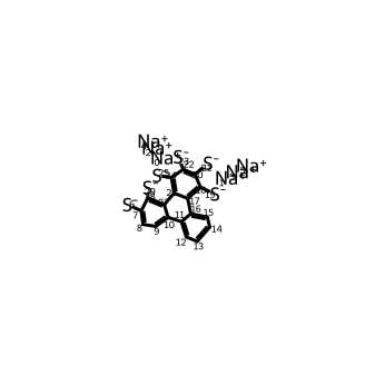 [Na+].[Na+].[Na+].[Na+].[Na+].[Na+].[S-]c1ccc2c3ccccc3c3c([S-])c([S-])c([S-])c([S-])c3c2c1[S-]